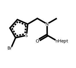 CCCCCCCC(=O)N(C)Cc1ccc(Br)s1